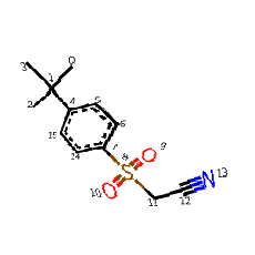 CC(C)(C)c1ccc(S(=O)(=O)CC#N)cc1